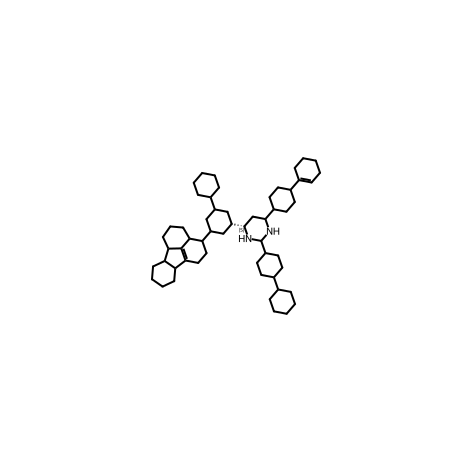 C1=C(C2CCC(C3C[C@@H](C4CC(C5CCCCC5)CC(C5CCC6=C7C5CCCC7C5CCCCC65)C4)NC(C4CCC(C5CCCCC5)CC4)N3)CC2)CCCC1